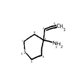 C=CC1(N)CCSCC1